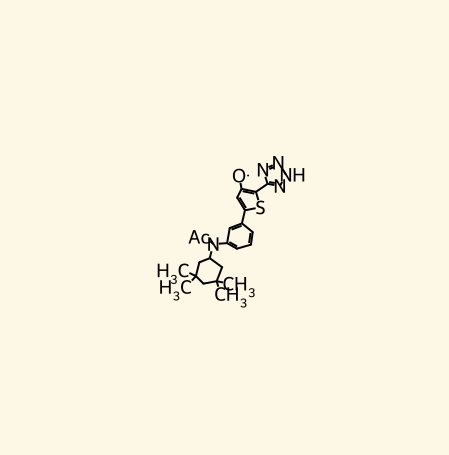 CC(=O)N(c1cccc(-c2cc([O])c(-c3nn[nH]n3)s2)c1)C1CC(C)(C)CC(C)(C)C1